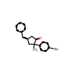 CC(C)(C)c1ccc(C2(C)CC(=Cc3ccccc3)CC2=O)cc1